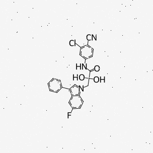 N#Cc1ccc(NC(=O)C(O)(O)Cn2cc(-c3ccccc3)c3cc(F)ccc32)cc1Cl